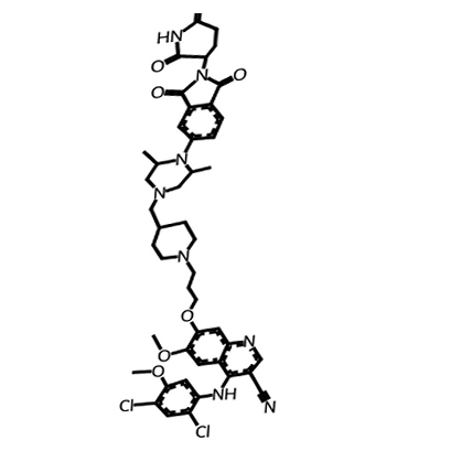 COc1cc(Nc2c(C#N)cnc3cc(OCCCN4CCC(CN5CC(C)N(c6ccc7c(c6)C(=O)N(C6CCC(=O)NC6=O)C7=O)C(C)C5)CC4)c(OC)cc23)c(Cl)cc1Cl